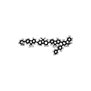 CC1(C)c2cc(-c3ccc4c(c3)C(C)(C)c3cc(-c5ccccn5)ccc3-4)ccc2-c2ccc(-c3ccc4c(c3)C(C)(C)c3cc(-c5cc6c(cc5-c5ccc(-c7ccccc7)cc5)C(C)(C)c5ccccc5-6)ccc3-4)cc21